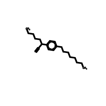 [C]#CC(CCCCC)c1ccc(CCCCCCCC)cc1